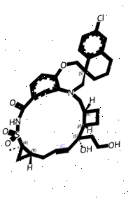 C[C@@]12C[C@H]1C/C=C/[C@](O)(CCO)[C@@H]1CC[C@H]1CN1C[C@@]3(CCCc4cc(Cl)ccc43)COc3ccc(cc31)C(=O)NS2(=O)=O